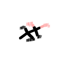 BC(B)(C(C)C)C(C)(CCC)CCCCCC